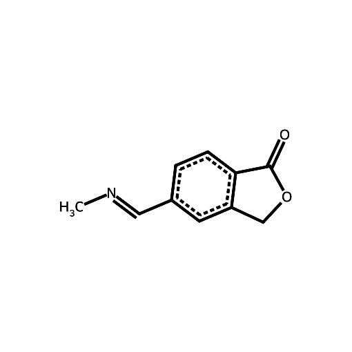 C/N=C/c1ccc2c(c1)COC2=O